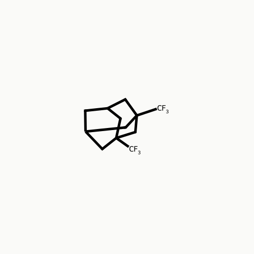 FC(F)(F)C12CC3CC(C1)CC(C(F)(F)F)(C3)C2